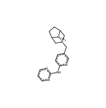 CN1C2CCC1CN(Cc1ccc(Nc3ncccn3)nc1)C2